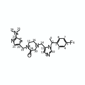 CC(c1ccc(F)cc1)n1cncc1CN1CCN(Cc2cnc(N(C)C)s2)C(=O)C1